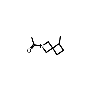 CC(=O)N1CC2(CCC2C)C1